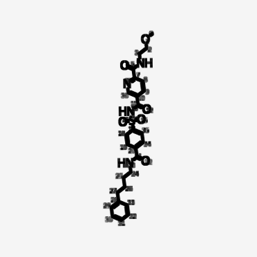 COCCNC(=O)c1ccc(C(=O)NS(=O)(=O)c2ccc(C(=O)NCCCCc3ccccc3)cc2)cn1